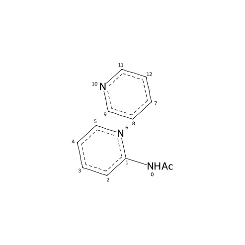 CC(=O)Nc1ccccn1.c1ccncc1